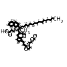 CCCCCCCCCCCCCCCCC1(C)C(/C(C#N)=C/C2=C(Cl)C(=C/C=C3/OCCN3CCOC=O)/CC2)=[N+](CCC(=O)O)c2c1ccc1ccccc21